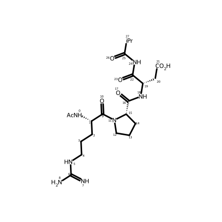 CC(=O)N[C@@H](CCCNC(=N)N)C(=O)N1CCC[C@H]1C(=O)N[C@@H](CC(=O)O)C(=O)NC(=O)C(C)C